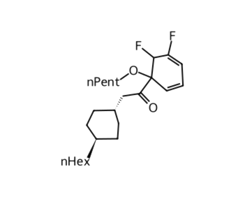 CCCCCC[C@H]1CC[C@H](CC(=O)C2(OCCCCC)C=CC=C(F)C2F)CC1